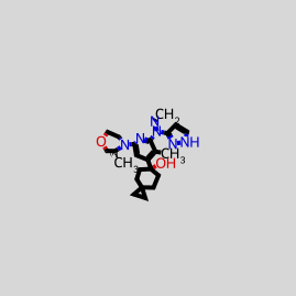 C=NN(c1cc[nH]n1)c1nc(N2CCOC[C@H]2C)cc(C2(O)CCC3(CC3)CC2)c1C